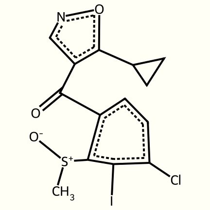 C[S+]([O-])c1c(C(=O)c2cnoc2C2CC2)ccc(Cl)c1I